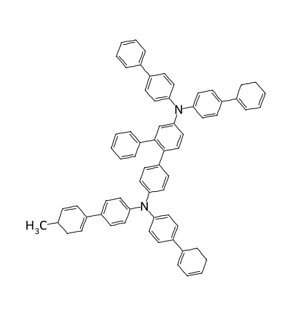 CC1C=CC(c2ccc(N(c3ccc(C4=CC=CCC4)cc3)c3ccc(-c4ccc(N(c5ccc(C6=CC=CCC6)cc5)c5ccc(-c6ccccc6)cc5)cc4-c4ccccc4)cc3)cc2)=CC1